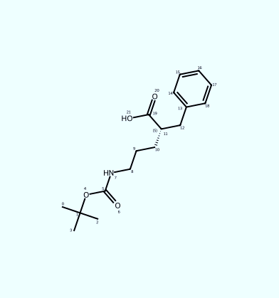 CC(C)(C)OC(=O)NCCC[C@@H](Cc1ccccc1)C(=O)O